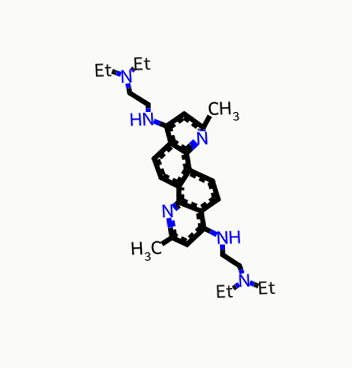 CCN(CC)CCNc1cc(C)nc2c1ccc1c2ccc2c(NCCN(CC)CC)cc(C)nc21